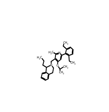 CCCC1c2ccccc2CCN1Cc1c(OC(C)C)cc(-c2c(CC)cccc2CC)nc1C